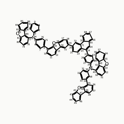 c1ccc(N(c2ccc(-c3cccc4c3oc3ccc(-c5ccc6c(-c7ccc(N(c8cccc(-c9cccc%10c9oc9ccccc9%10)c8)c8cccc9oc%10ccccc%10c89)cc7)cc7ccccc7c6c5)cc34)cc2)c2cccc3oc4ccccc4c23)cc1